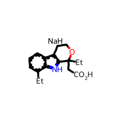 CCc1cccc2c3c([nH]c12)C(CC)(CC(=O)O)OCC3.[NaH]